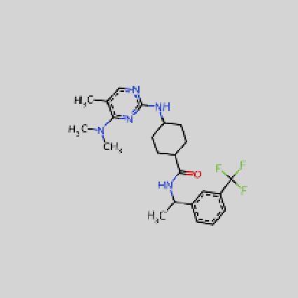 Cc1cnc(NC2CCC(C(=O)NC(C)c3cccc(C(F)(F)F)c3)CC2)nc1N(C)C